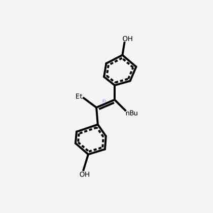 CCCC/C(=C(/CC)c1ccc(O)cc1)c1ccc(O)cc1